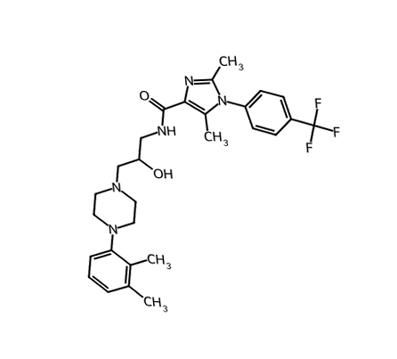 Cc1cccc(N2CCN(CC(O)CNC(=O)c3nc(C)n(-c4ccc(C(F)(F)F)cc4)c3C)CC2)c1C